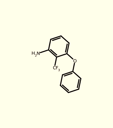 Nc1cccc(Oc2ccccc2)c1C(F)(F)F